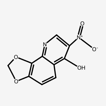 O=[N+]([O-])c1cnc2c3c(ccc2c1O)OCO3